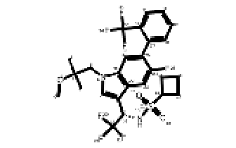 COC(C)(C)Cn1cc([C@H](NS(=O)(=O)C2CCC2)C(F)(F)F)c2cc(F)c(-c3ccccc3C(F)(F)F)cc21